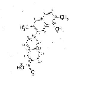 Cc1cc2ccc(C)c(C)c2cc1-c1ccc2cc(C(=O)O)ccc2c1